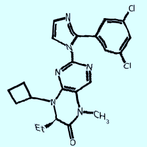 CC[C@@H]1C(=O)N(C)c2cnc(-n3ccnc3-c3cc(Cl)cc(Cl)c3)nc2N1C1CCC1